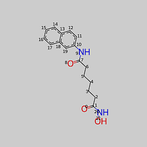 O=C(CCCCCC(=O)Nc1ccc2ccccc2c1)NO